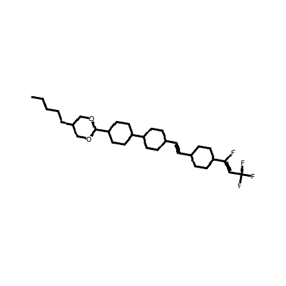 CCCCCC1COC(C2CCC(C3CCC(/C=C/C4CCC(/C(F)=C/C(F)(F)F)CC4)CC3)CC2)OC1